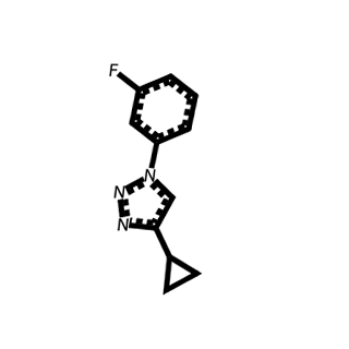 Fc1cccc(-n2cc(C3CC3)nn2)c1